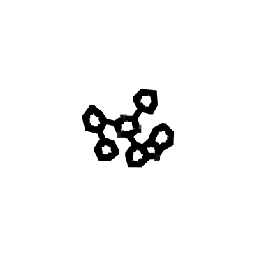 c1ccc(-c2nc(-c3ccccc3-c3ccccc3)nc(-c3cccc4sc5ccccc5c34)n2)cc1